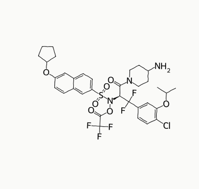 CC(C)Oc1cc(C(F)(F)[C@H](C(=O)N2CCC(N)CC2)N(OC(=O)C(F)(F)F)S(=O)(=O)c2ccc3cc(OC4CCCC4)ccc3c2)ccc1Cl